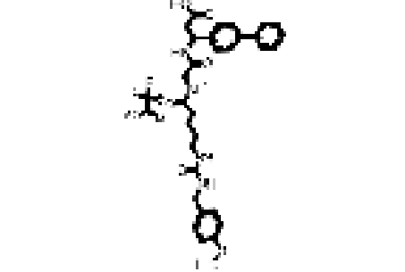 COc1ccc(CNC(=O)NCCCCC(=O)NCC(=O)NC(CC(=O)O)c2ccc(-c3ccccc3)cc2)cc1.O=C(O)C(F)(F)F